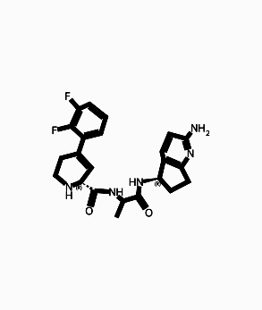 CC(NC(=O)[C@H]1C=C(c2cccc(F)c2F)CCN1)C(=O)N[C@@H]1CCc2nc(N)ccc21